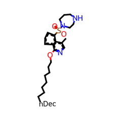 CCCCCCCCCCCCCCCCCCOc1ncc(C)c2c(S(=O)(=O)N3CCCNCC3)cccc12